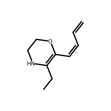 C=C/C=C\C1=C(CC)NCCO1